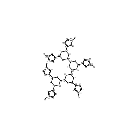 Cn1ccc(C2CC(c3ccn(C)c3)CC(C3CC(c4ccn(C)c4)CC(C4CC(c5ccn(C)c5)CC(C5CC(c6ccn(C)c6)CC(c6ccn(C)c6)C5)C4)C3)C2)c1